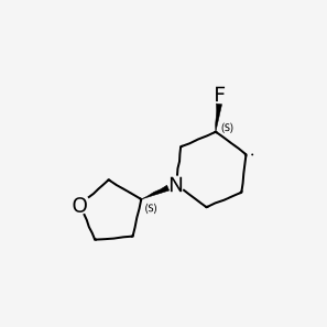 F[C@H]1[CH]CCN([C@H]2CCOC2)C1